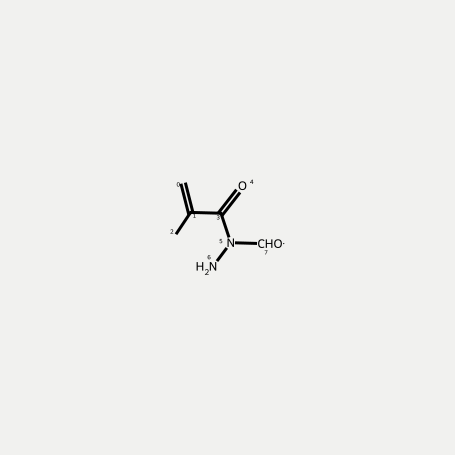 C=C(C)C(=O)N(N)[C]=O